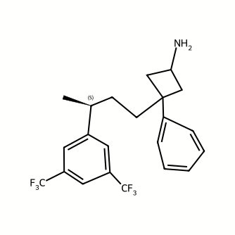 C[C@@H](CCC1(c2ccccc2)CC(N)C1)c1cc(C(F)(F)F)cc(C(F)(F)F)c1